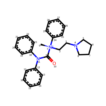 C[N@@+](CCN1CCCC1)(C(=O)N(c1ccccc1)c1ccccc1)c1ccccc1